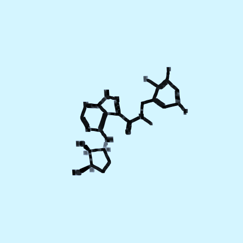 CN(Cc1cc(F)cc(F)c1F)C(=O)c1n[nH]c2ncnc(N[C@@H]3CC[C@@H](O)[C@H]3O)c12